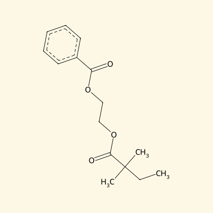 CCC(C)(C)C(=O)OCCOC(=O)c1ccccc1